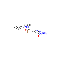 Nc1nc(O)c2c(n1)NCC(CCc1csc(C(=O)N[C@@H](CCC(=O)O)C(=O)O)c1)C2